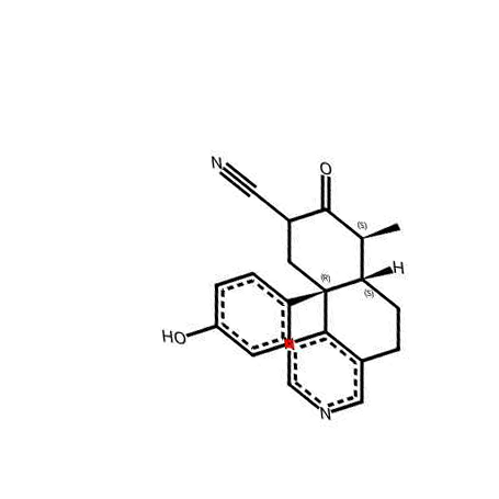 C[C@@H]1C(=O)C(C#N)C[C@@]2(c3ccc(O)cc3)c3ncncc3CC[C@@H]12